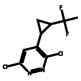 CC(F)(F)C1CC1c1cc(Cl)nnc1Cl